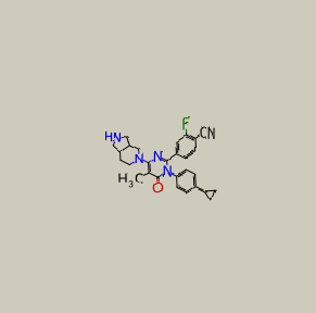 Cc1c(N2CCC3CNCC3C2)nc(-c2ccc(C#N)c(F)c2)n(-c2ccc(C3CC3)cc2)c1=O